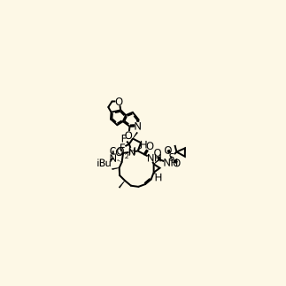 CCC(C)N(C(=O)O)[C@@H]1C(=O)N2[C@@H](C[C@@](C)(Oc3nccc4c5c(ccc34)CCO5)C2(F)F)C(=O)N[C@]2(C(=O)NS(=O)(=O)C3(C)CC3)C[C@H]2/C=C\CC[C@@H](C)C[C@H]1C